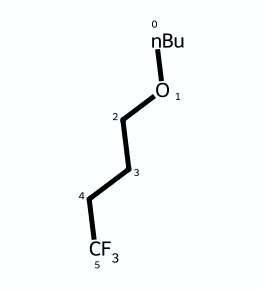 [CH2]CCCOCCCC(F)(F)F